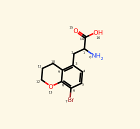 NC(Cc1ccc(Br)c2c1CCCO2)C(=O)O